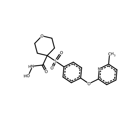 Cc1cccc(Oc2ccc(S(=O)(=O)C3(C(=O)NO)CCOCC3)cc2)n1